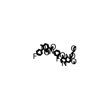 COCCOc1nc2c(Oc3ccc(NC(=O)c4ccc(C)n(-c5ccc(F)cc5)c4=O)cc3F)ccnc2cc1OC